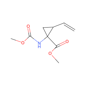 C=CC1CC1(NC(=O)OC)C(=O)OC